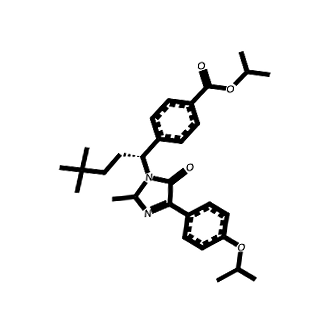 CC(C)OC(=O)c1ccc([C@@H](CCC(C)(C)C)N2C(=O)C(c3ccc(OC(C)C)cc3)=NC2C)cc1